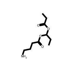 CCC(=O)OC(CC)OC(=O)CCCN